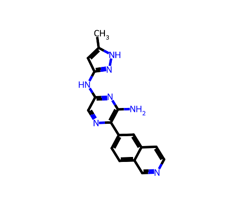 Cc1cc(Nc2cnc(-c3ccc4cnccc4c3)c(N)n2)n[nH]1